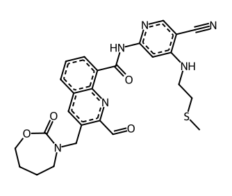 CSCCNc1cc(NC(=O)c2cccc3cc(CN4CCCCOC4=O)c(C=O)nc23)ncc1C#N